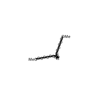 COCCOCCOCCOCCOCCOCCOCC1Oc2c(C)sc(C)c2OC1COCCOCCOCCOCCOCCOCCOC